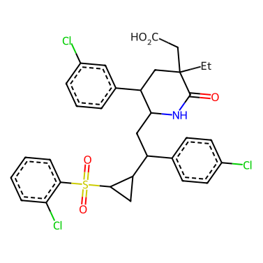 CCC1(CC(=O)O)CC(c2cccc(Cl)c2)C(CC(c2ccc(Cl)cc2)C2CC2S(=O)(=O)c2ccccc2Cl)NC1=O